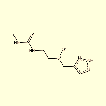 CNC(=S)NCC[S+]([O-])Cc1cc[nH]n1